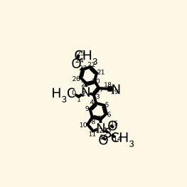 CCn1c(-c2ccc3c(c2)CCN3S(C)(=O)=O)c(C#N)c2ccc(OC)cc21